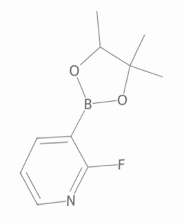 CC1OB(c2cccnc2F)OC1(C)C